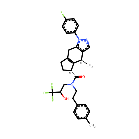 Cc1ccc(CCN(CC(O)C(F)(F)F)C(=O)[C@@H]2CCC3=C2[C@@H](C)c2cnn(-c4ccc(F)cc4)c2C3)cc1